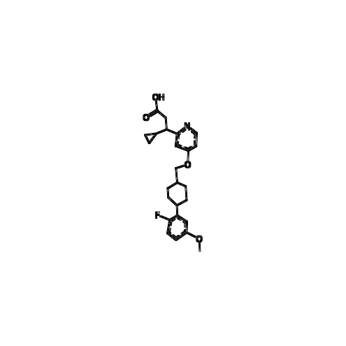 COc1ccc(F)c(C2CCC(COc3ccnc(C(CC(=O)O)C4CC4)c3)CC2)c1